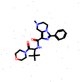 CN1CCn2c(-c3ccccc3)nc(C(=O)NC(C(=O)N3CCOCC3)C(C)(C)C)c2C1